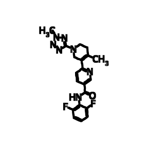 CC1=C(c2ccc(C(=O)Nc3c(F)cccc3F)cn2)CN(c2nnn(C)n2)CC1